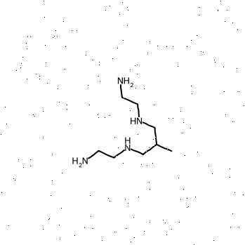 CC(CNCCN)CNCCN